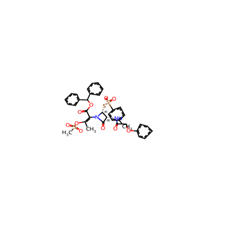 CC(OS(C)(=O)=O)=C(C(=O)OC(c1ccccc1)c1ccccc1)N1C(=O)[C@@H](NC(=O)COc2ccccc2)[C@H]1SS(=O)(=O)c1ccc(C)cc1